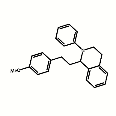 COc1ccc(CCC2c3ccccc3CCN2c2ccccc2)cc1